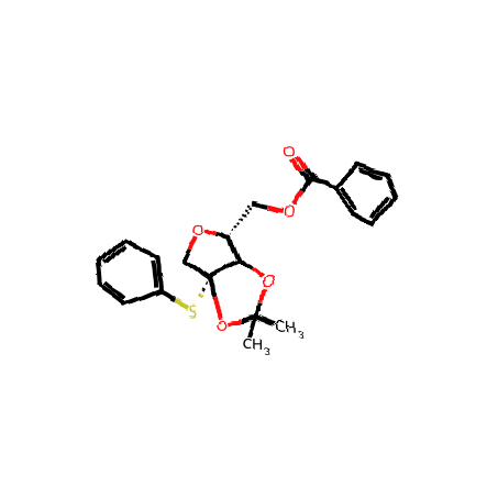 CC1(C)OC2[C@@H](COC(=O)c3ccccc3)OC[C@]2(Sc2ccccc2)O1